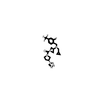 O=C(N1CC(N(Cc2ccc(C(F)(F)F)cc2F)CC2CC2)C1)N1CC[C@H](n2cnnn2)C1